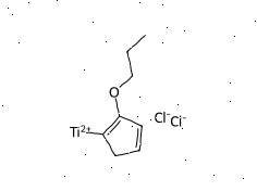 CCCOC1=[C]([Ti+2])CC=C1.[Cl-].[Cl-]